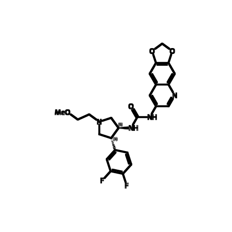 COCCN1C[C@@H](NC(=O)Nc2cnc3cc4c(cc3c2)OCO4)[C@H](c2ccc(F)c(F)c2)C1